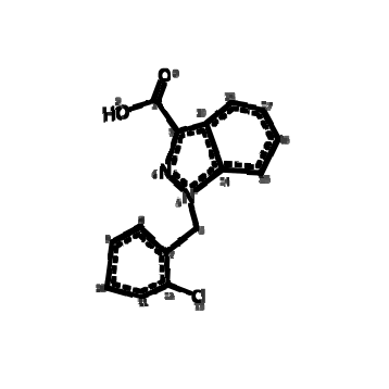 O=C(O)c1nn(Cc2ccccc2Cl)c2ccccc12